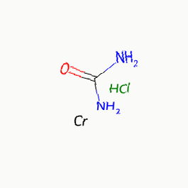 Cl.NC(N)=O.[Cr]